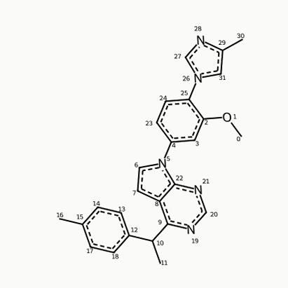 COc1cc(-n2ccc3c(C(C)c4ccc(C)cc4)ncnc32)ccc1-n1cnc(C)c1